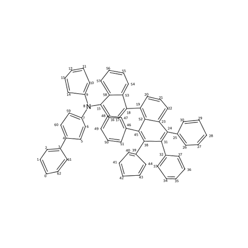 c1ccc(-c2ccc(N(c3ccccc3)c3ccc(-c4cccc5c(-c6ccccc6)c(-c6ccccc6)c(-c6ccccc6)c(-c6ccccc6)c45)c4ccccc34)cc2)cc1